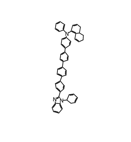 C1=CCC(n2c(-c3ccc(-c4ccc(-c5ccc(-c6ccc(N(C7=C8C=CCCC8CC=C7)c7ccccc7)cc6)cc5)cc4)cc3)nc3ccccc32)C=C1